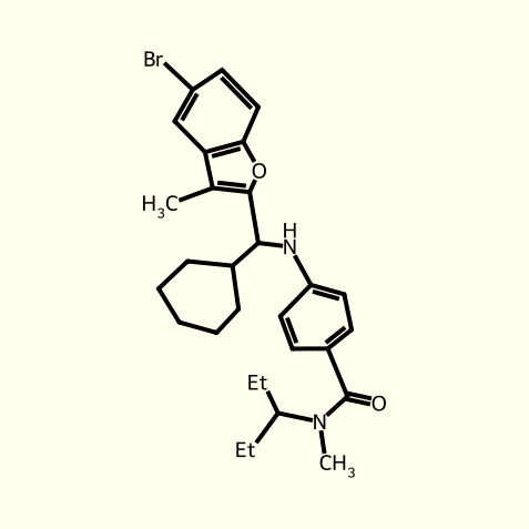 CCC(CC)N(C)C(=O)c1ccc(NC(c2oc3ccc(Br)cc3c2C)C2CCCCC2)cc1